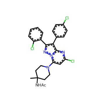 CC(=O)NC1(C)CCN(c2cc(Cl)nc3c(-c4ccc(Cl)cc4)c(-c4ccccc4Cl)nn23)CC1